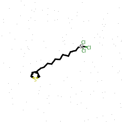 Cl[Si](Cl)(Cl)CCCCCCCCCCCc1ccsc1